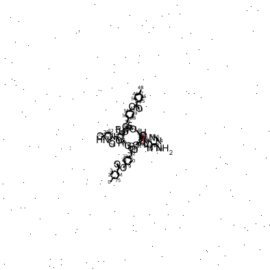 Cc1ccc(C(=O)Oc2ccc(CSP3(=O)OC[C@H]4O[C@@H](n5ccc(=O)[nH]c5=O)[C@H](F)[C@@H]4OP(=O)(SCc4ccc(OC(=O)c5ccc(C)cc5)cc4)OC[C@H]4O[C@@H](n5cnc6c(N)ncnc65)[C@H](O3)[C@@H]4F)cc2)cc1